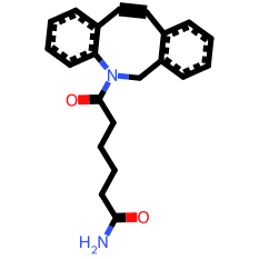 NC(=O)CCCCC(=O)N1Cc2ccccc2C#Cc2ccccc21